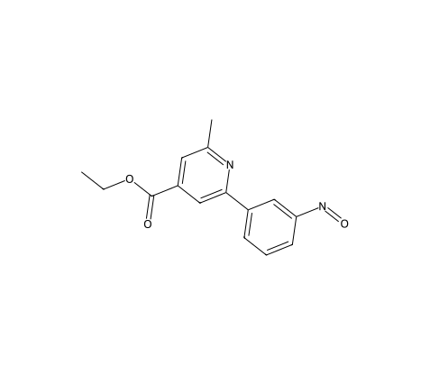 CCOC(=O)c1cc(C)nc(-c2cccc(N=O)c2)c1